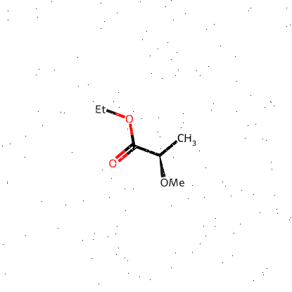 CCOC(=O)[C@@H](C)OC